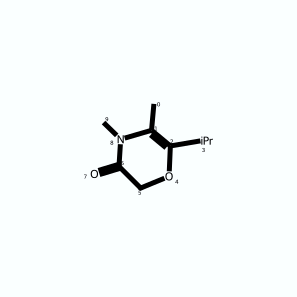 CC1=C(C(C)C)OCC(=O)N1C